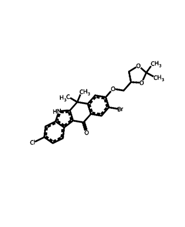 CC1(C)OCC(COc2cc3c(cc2Br)C(=O)c2c([nH]c4cc(Cl)ccc24)C3(C)C)O1